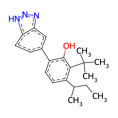 CCC(C)c1ccc(-c2ccc3[nH]nnc3c2)c(O)c1C(C)(C)C